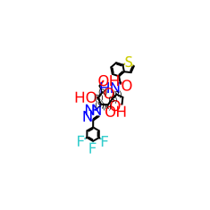 O=C(N[C@@H]1CCO[C@]12O[C@H](CO)[C@H](O)[C@H](n1cc(-c3cc(F)c(F)c(F)c3)nn1)[C@H]2O)c1cccc2sccc12